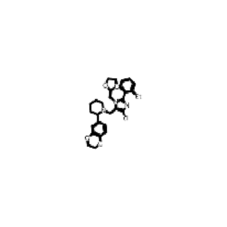 CCc1ccccc1-c1nc(Cl)c(CN2CCCCC2c2ccc3c(c2)OCCO3)n1CC1OCCO1